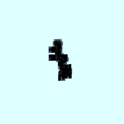 CCNC(=O)Nc1ccc(Oc2ccnc3cc(OC[C@H](O)CN4CCCCC4)c(C#N)cc23)cc1Cl